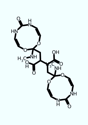 CNC1(CC(C(=O)O)C(CC2(NC)OC=CNC(=O)NC=CO2)C(=O)O)OC=CNC(=O)NC=CO1